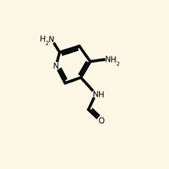 Nc1cc(N)c(NC=O)cn1